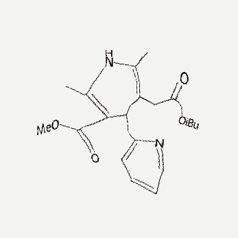 COC(=O)C1=C(C)NC(C)=C(C(=O)OCC(C)C)C1c1ccccn1